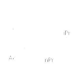 CCCc1c(C(C)=O)cccc1C(C)C